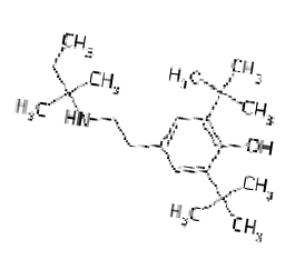 CCC(C)(C)NCCc1cc(C(C)(C)C)c(O)c(C(C)(C)C)c1